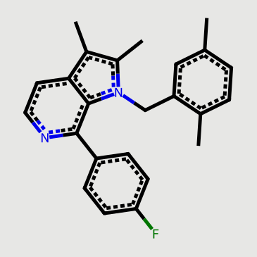 Cc1ccc(C)c(Cn2c(C)c(C)c3ccnc(-c4ccc(F)cc4)c32)c1